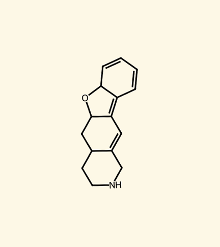 C1=CC2=C3C=C4CNCCC4CC3OC2C=C1